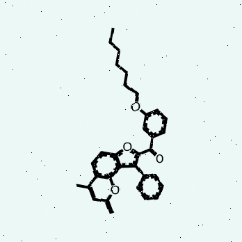 C=C1C=C(C)c2ccc3oc(C(=O)c4cccc(OCCCCCCC)c4)c(-c4ccccc4)c3c2O1